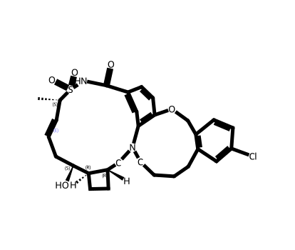 C[C@H]1/C=C/C[C@H](O)[C@@H]2CC[C@H]2CN2CCCCc3cc(Cl)ccc3COc3ccc(cc32)C(=O)NS1(=O)=O